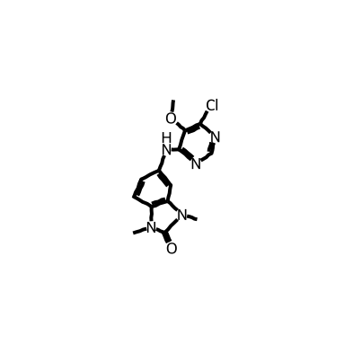 COc1c(Cl)ncnc1Nc1ccc2c(c1)n(C)c(=O)n2C